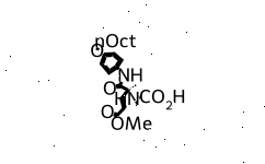 CCCCCCCCOc1ccc(NC(=O)[C@](C)(/C=C/C(=O)OC)NC(=O)O)cc1